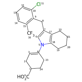 O=C(O)C1CC=C(n2cc(Cc3c(Cl)cccc3C(F)(F)F)c3c2CCCC3)CC1